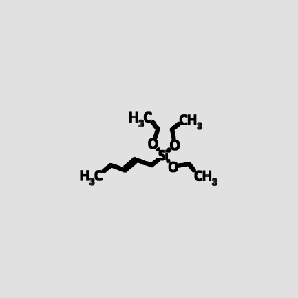 CCC=CC[Si](OCC)(OCC)OCC